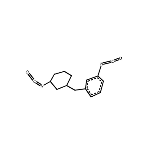 O=C=Nc1cccc(CC2CCCC(N=C=O)C2)c1